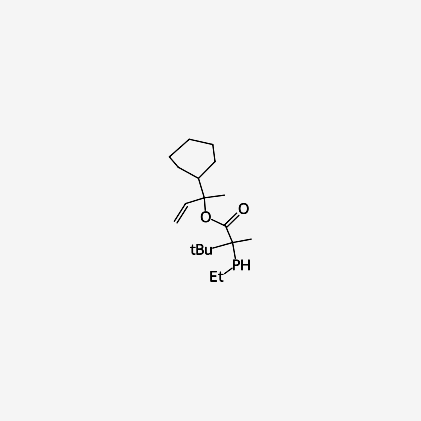 C=CC(C)(OC(=O)C(C)(PCC)C(C)(C)C)C1CCCCC1